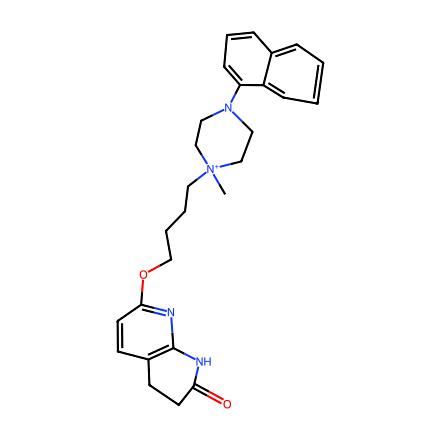 C[N+]1(CCCCOc2ccc3c(n2)NC(=O)CC3)CCN(c2cccc3ccccc23)CC1